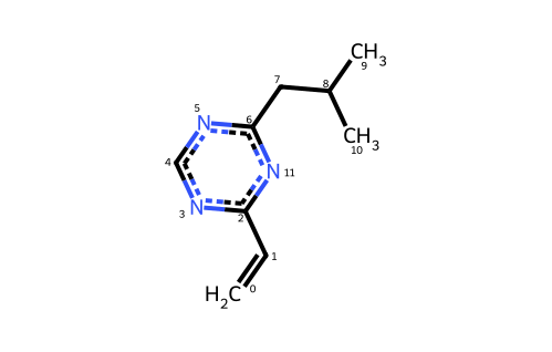 C=Cc1ncnc(CC(C)C)n1